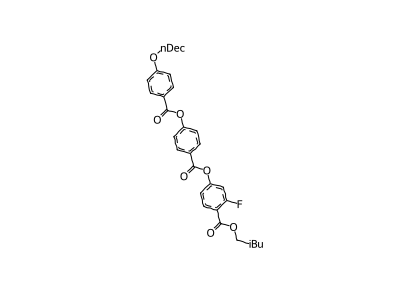 CCCCCCCCCCOc1ccc(C(=O)Oc2ccc(C(=O)Oc3ccc(C(=O)OCC(C)CC)c(F)c3)cc2)cc1